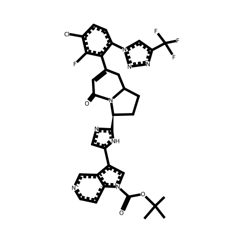 CC(C)(C)OC(=O)n1cc(-c2cnc([C@@H]3CCC4CC(c5c(-n6cc(C(F)(F)F)nn6)ccc(Cl)c5F)=CC(=O)N43)[nH]2)c2cnccc21